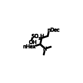 CCCCCCCCCCCCC(CCCCCC)N(C)C.O=S(=O)(O)O